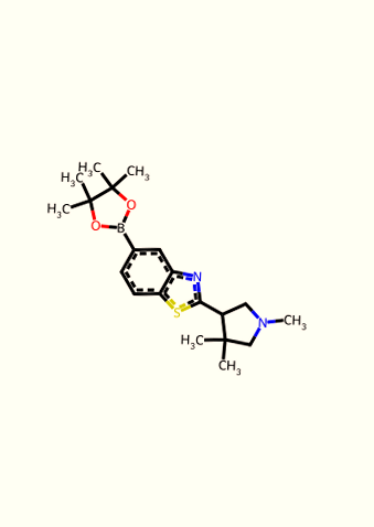 CN1CC(c2nc3cc(B4OC(C)(C)C(C)(C)O4)ccc3s2)C(C)(C)C1